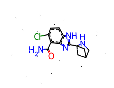 NC(=O)c1c(Cl)ccc2[nH]c(C34CC(CN3)C4)nc12